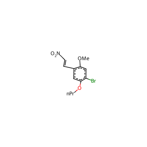 CCCOc1cc(/C=C/[N+](=O)[O-])c(OC)cc1Br